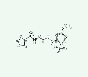 CSc1ncc(C(F)(F)F)c(NCCCNC(=O)C2CCCC2)n1